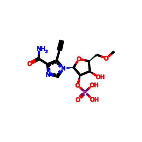 C#Cc1c(C(N)=O)ncn1[C@@H]1O[C@H](COC)[C@@H](O)[C@H]1OP(=O)(O)O